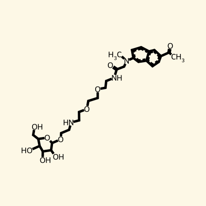 CC(=O)c1ccc2cc(N(C)CC(=O)NCCOCCOCCNCCOC3OC(CO)C(O)C(O)C3O)ccc2c1